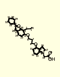 CCCc1c(OCCCOc2cccc3c2ccn3CC(=O)O)ccc2cc(-c3ccccc3)oc12